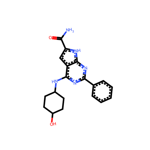 NC(=O)c1cc2c(NC3CCC(O)CC3)nc(-c3ccccc3)nc2[nH]1